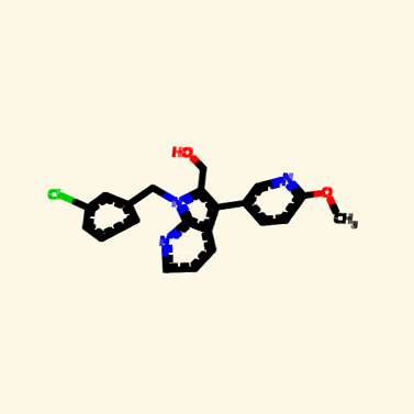 COc1ccc(-c2c(CO)n(Cc3cccc(Cl)c3)c3ncccc23)cn1